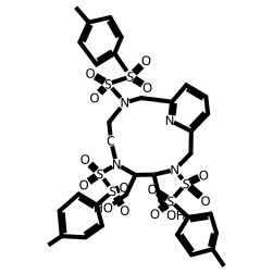 Cc1ccc(S(=O)(=O)S(=O)(=O)N2CCN(S(=O)(=O)S(=O)(=O)c3ccc(C)cc3)C(CO)C(CO)N(S(=O)(=O)S(=O)(=O)c3ccc(C)cc3)Cc3cccc(n3)C2)cc1